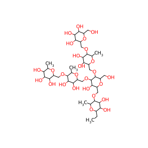 CCC1OC(C)C(OCC2OC(CO)C(OCC3OC(C)C(OCC4OC(CO)C(O)C(O)C4O)C(O)C3O)C(OCC3OC(C)C(OCC4OC(C)C(O)C(O)C4O)C(O)C3O)C2O)C(O)C1O